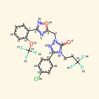 O=c1n(Cc2nc(-c3ccccc3OC(F)(F)F)no2)nc(-c2ccc(Cl)cc2)n1CCC(F)(F)F